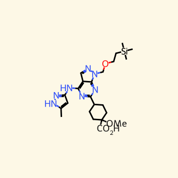 COC1(C(=O)O)CCC(c2nc(Nc3cc(C)[nH]n3)c3cnn(COCC[Si](C)(C)C)c3n2)CC1